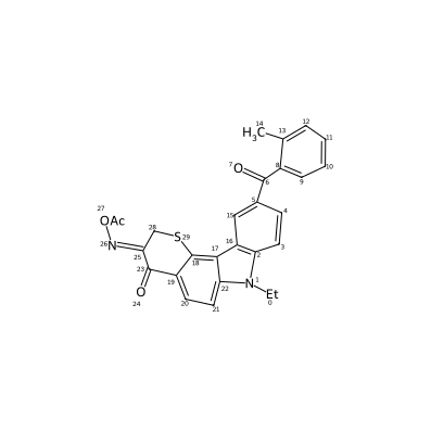 CCn1c2ccc(C(=O)c3ccccc3C)cc2c2c3c(ccc21)C(=O)/C(=N/OC(C)=O)CS3